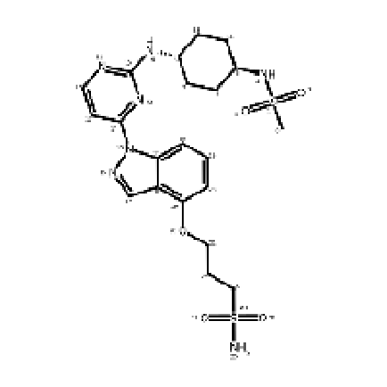 CS(=O)(=O)N[C@H]1CC[C@H](Nc2nccc(-n3ncc4c(OCCCS(N)(=O)=O)cccc43)n2)CC1